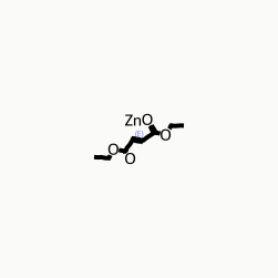 CCOC(=O)/C=C/C(=O)OCC.[Zn]